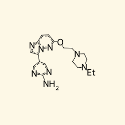 CCN1CCN(CCOc2ccc3ncc(-c4cnc(N)nc4)n3n2)CC1